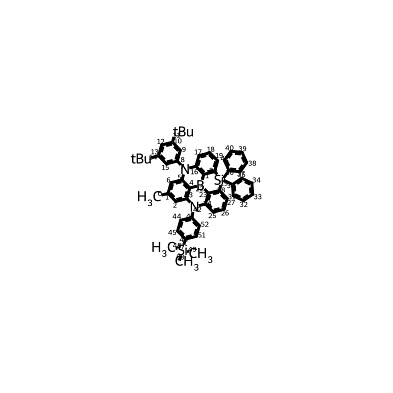 Cc1cc2c3c(c1)N(c1cc(C(C)(C)C)cc(C(C)(C)C)c1)c1cccc4c1B3c1c(cccc1[Si]4(c1ccccc1)c1ccccc1)N2c1ccc([Si](C)(C)C)cc1